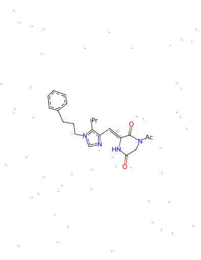 CC(=O)N1CC(=O)N/C(=C\c2ncn(CCCc3ccccc3)c2C(C)C)C1=O